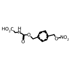 O=C(O)CNC(=O)OCc1ccc(CO[N+](=O)[O-])cc1